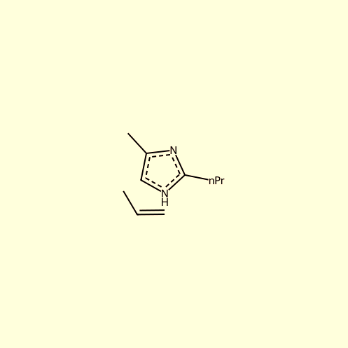 C=CC.CCCc1nc(C)c[nH]1